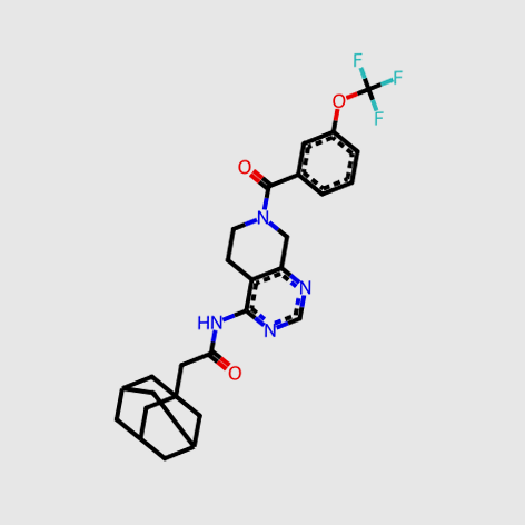 O=C(CC12CC3CC(CC(C3)C1)C2)Nc1ncnc2c1CCN(C(=O)c1cccc(OC(F)(F)F)c1)C2